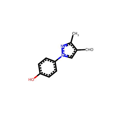 Cc1nn(-c2ccc(O)cc2)cc1C=O